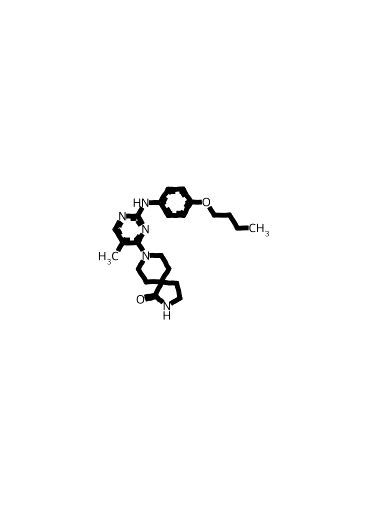 CCCCOc1ccc(Nc2ncc(C)c(N3CCC4(CCNC4=O)CC3)n2)cc1